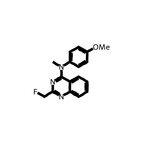 COc1ccc(N(C)c2nc(CF)nc3ccccc23)cc1